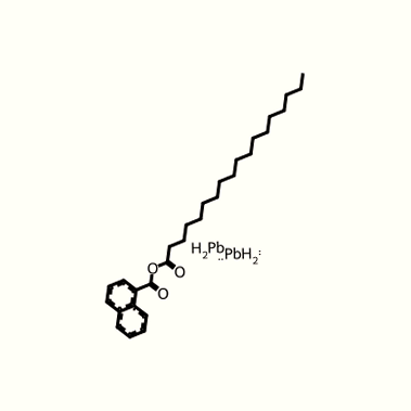 CCCCCCCCCCCCCCCCCC(=O)OC(=O)c1cccc2ccccc12.[PbH2].[PbH2]